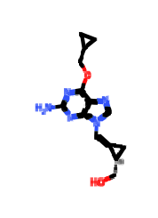 Nc1nc(OCC2CC2)c2ncn(C=C3C[C@@H]3CO)c2n1